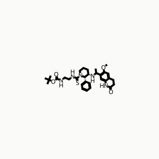 COc1cc2c(cc1C(C)N[C@H]1CCCN(C(=S)NCCNC(=O)OC(C)(C)C)[C@H]1c1ccccc1)NC(=O)CC2